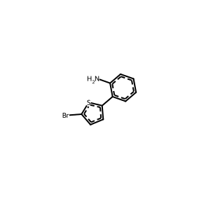 Nc1ccccc1-c1ccc(Br)s1